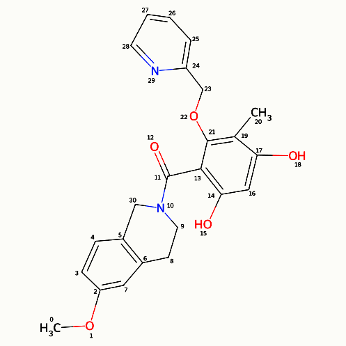 COc1ccc2c(c1)CCN(C(=O)c1c(O)cc(O)c(C)c1OCc1ccccn1)C2